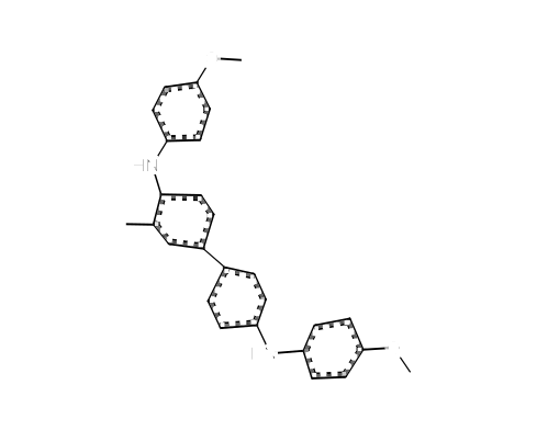 COc1ccc(Nc2ccc(-c3ccc(Nc4ccc(OC)cc4)c(C)c3)cc2)cc1